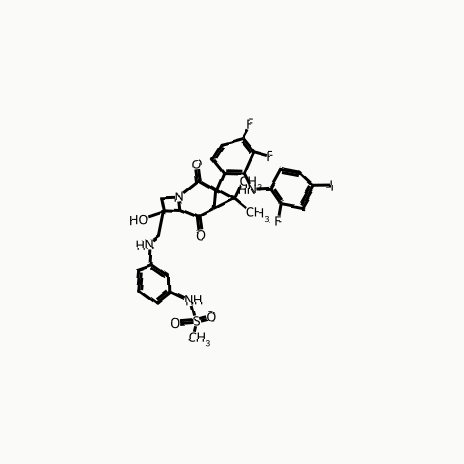 CC1(C)C2C(=O)C3N(CC3(O)CNc3cccc(NS(C)(=O)=O)c3)C(=O)C21c1ccc(F)c(F)c1Nc1ccc(I)cc1F